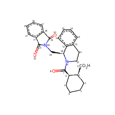 O=C(O)[C@H]1CCCC[C@H]1C(=O)N1CCc2ccccc2[C@@H]1CN1C(=O)c2ccccc2C1=O